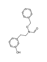 O=CN(CCc1cccc(O)c1)OCc1ccccc1